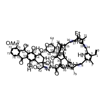 C=Cc1c2[nH]c(c1C)/C=C1\N=C(C3=C4NC(/C=c5\[nH]/c(c(C)c5CC)=C\2)C(C)=C4C(=O)C3C(=O)OC)[C@@H](CCC(=O)N/N=C(/CO)[C@]2(O)Cc3c(O)c4c(c(O)c3[C@@H](O[C@H]3C[C@@H](N)[C@@H](O)[C@@H](C)O3)C2)C(=O)c2c(OC)cccc2C4=O)[C@H]1C